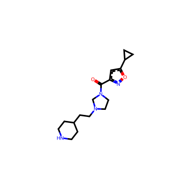 O=C(c1cc(C2CC2)on1)N1CCN(CCC2CCNCC2)C1